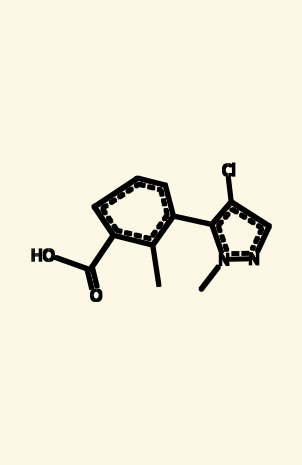 Cc1c(C(=O)O)cccc1-c1c(Cl)cnn1C